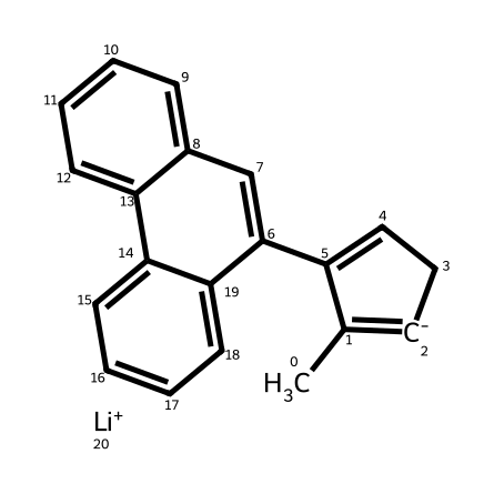 CC1=[C-]CC=C1c1cc2ccccc2c2ccccc12.[Li+]